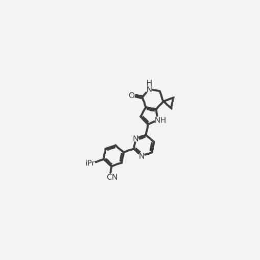 CC(C)c1ccc(-c2nccc(-c3cc4c([nH]3)C3(CC3)CNC4=O)n2)cc1C#N